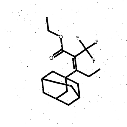 CCOC(=O)C(=C(CC)C12CC3CC(CC(C3)C1)C2)C(F)(F)F